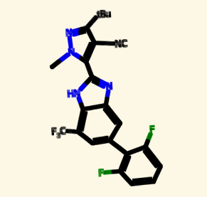 [C-]#[N+]c1c(C(C)(C)C)nn(C)c1-c1nc2cc(-c3c(F)cccc3F)cc(C(F)(F)F)c2[nH]1